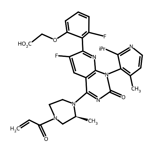 C=CC(=O)N1CCN(c2nc(=O)n(-c3c(C)ccnc3C(C)C)c3nc(-c4c(F)cccc4OCC(=O)O)c(F)cc23)[C@@H](C)C1